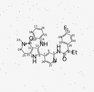 CC[C@H](C(=O)Nc1cc(-c2[nH]c3c(c2Nc2ccccc2)C(=O)N(C)CC3)ccn1)c1ccc(F)cc1